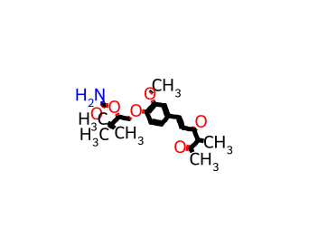 COc1cc(C=CC(=O)C(C)C(C)=O)ccc1OCC(OC(N)=O)C(C)(C)C